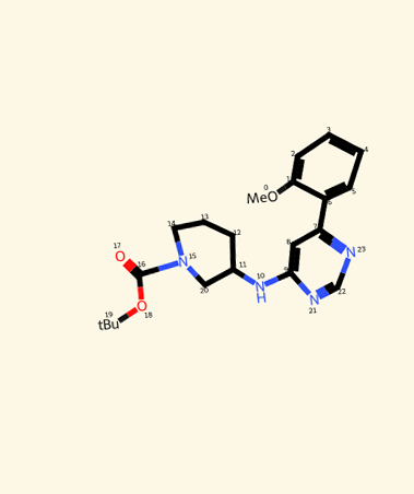 COc1ccccc1-c1cc(NC2CCCN(C(=O)OC(C)(C)C)C2)ncn1